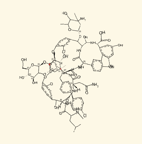 CNC(CC(C)C)C(=O)N[C@H]1C(=O)N[C@@H](CC(N)=O)C(=O)N[C@H]2C(=O)N[C@H]3C(=O)NC(C(O)NC(C(=O)O)c4cc(O)cc(O)c4-c4cc3ccc4O)C(O[C@H]3CC(C)(N)C(O)C(C)O3)c3ccc(c(Cl)c3)Oc3cc2cc(c3O[C@@H]2O[C@H](CO)[C@@H](O)[C@H](O)C2O[C@H]2C[C@](C)(NCc3ccc(-c4ccc(Cl)cc4)cc3)[C@@H](O)[C@H](C)O2)Oc2ccc(cc2Cl)C1O